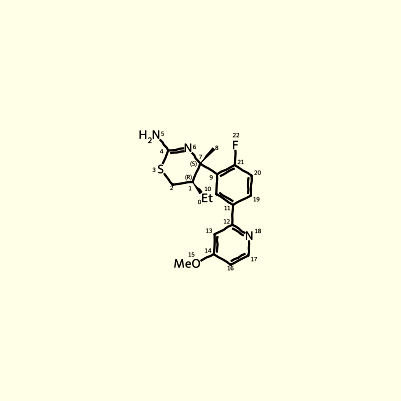 CC[C@H]1CSC(N)=N[C@]1(C)c1cc(-c2cc(OC)ccn2)ccc1F